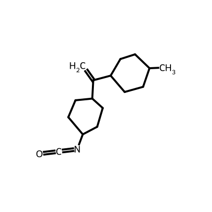 C=C(C1CCC(C)CC1)C1CCC(N=C=O)CC1